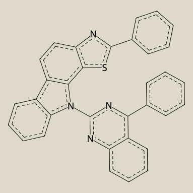 c1ccc(-c2nc3ccc4c5ccccc5n(-c5nc(-c6ccccc6)c6ccccc6n5)c4c3s2)cc1